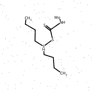 CCCC[SH](CCCC)SC(=S)[NH][Mo]